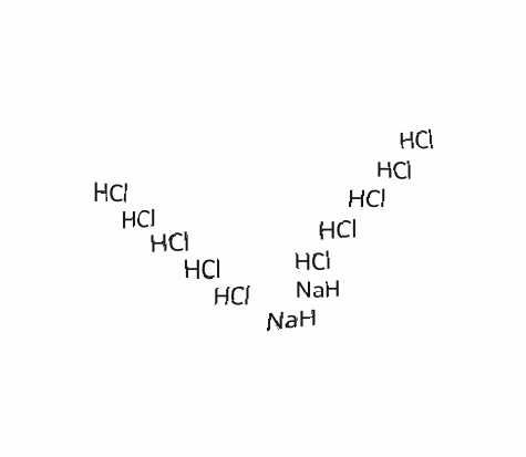 Cl.Cl.Cl.Cl.Cl.Cl.Cl.Cl.Cl.Cl.[NaH].[NaH]